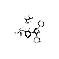 CCCS(=O)(=O)Nc1cccc(-c2cn(C3CCNCC3)nc2N2CCOCC2)c1F.O=C(O)C(F)(F)F